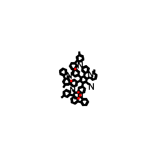 Cc1ccc2c(c1)c1ccccc1n2-c1cccc(-c2c(-c3ccc(-n4c5ccccc5c5ccccc54)cc3)c(C#N)c(-c3cccc(C)n3)c(-c3cccc(-n4c5ccccc5c5cc(C)ccc54)c3)c2-c2cccc(-n3c4ccccc4c4cc(C)ccc43)c2)c1